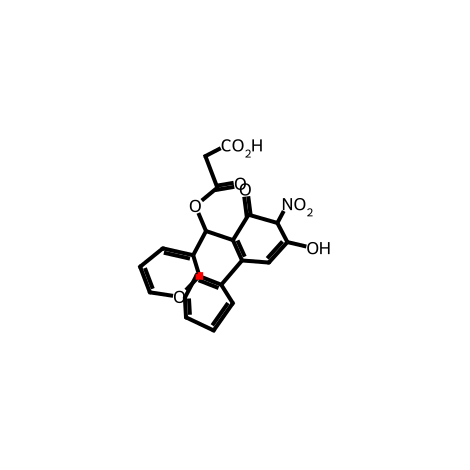 O=C(O)CC(=O)OC(C1=CC=COC1)C1=C(c2ccccc2)C=C(O)C([N+](=O)[O-])C1=O